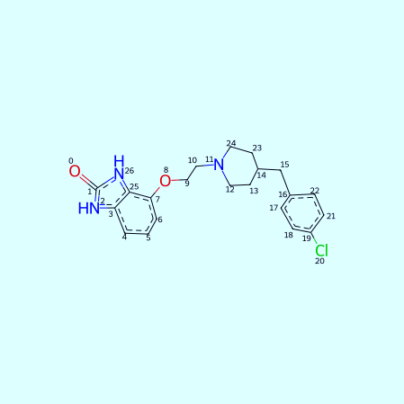 O=c1[nH]c2cccc(OCCN3CCC(Cc4ccc(Cl)cc4)CC3)c2[nH]1